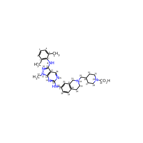 Cc1cccc(C)c1Nc1nn(C)c2nc(Nc3ccc4c(c3)CN(CC3CCN(C(=O)O)CC3)CC4)ncc12